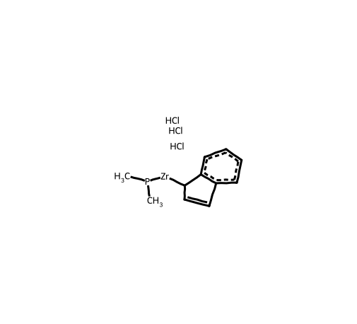 C[P](C)[Zr][CH]1C=Cc2ccccc21.Cl.Cl.Cl